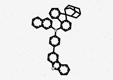 c1ccc2c(c1)-c1c(N(c3ccc(-c4ccc5oc6ccccc6c5c4)cc3)c3ccc4ccccc4c3)cccc1C21C2CC3CC(C2)CC1C3